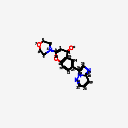 O=c1cc(N2CCOCC2)oc2ccc(-c3cnc4cccnn34)cc12